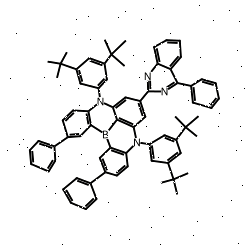 CC(C)(C)c1cc(N2c3ccc(-c4ccccc4)cc3B3c4cc(-c5ccccc5)ccc4N(c4cc(C(C)(C)C)cc(C(C)(C)C)c4)c4cc(-c5nc(-c6ccccc6)c6ccccc6n5)cc2c43)cc(C(C)(C)C)c1